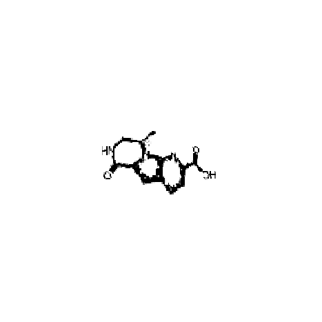 C[C@@H]1CNC(=O)c2cc3ccc(C(=O)O)nc3n21